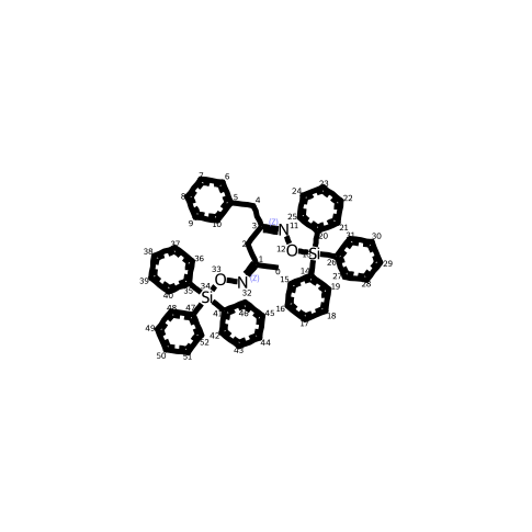 C/C(C/C(Cc1ccccc1)=N\O[Si](c1ccccc1)(c1ccccc1)c1ccccc1)=N/O[Si](c1ccccc1)(c1ccccc1)c1ccccc1